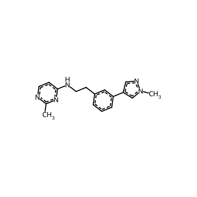 Cc1nccc(NCCc2cccc(-c3cnn(C)c3)c2)n1